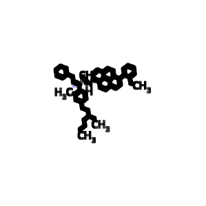 CCCCC(CC)CCc1ccc(/C(=C/CC2=CCCC=C2)N(C)Nc2ccc3ccc4c(-c5ccccc5CC)ccc5ccc2c3c54)c(C)c1